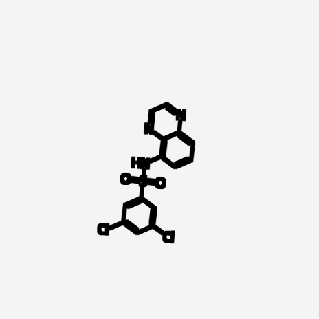 O=S(=O)(Nc1cccc2nccnc12)c1cc(Cl)cc(Cl)c1